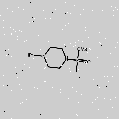 COP(C)(=O)N1CCN(C(C)C)CC1